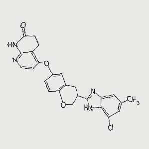 O=C1CCc2c(Oc3ccc4c(c3)CC(c3nc5cc(C(F)(F)F)cc(Cl)c5[nH]3)CO4)ccnc2N1